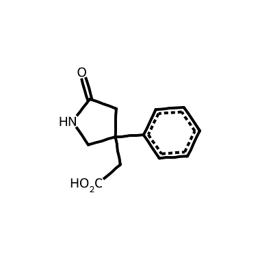 O=C(O)CC1(c2ccccc2)CNC(=O)C1